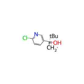 [CH2][C@](O)(c1ccc(Cl)nc1)C(C)(C)C